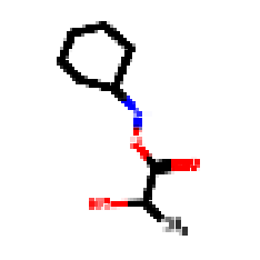 CC(O)C(=O)ONC1CCCCC1